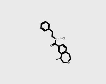 C[C@@H]1CNCCc2ccc(C(=O)NCCc3ccccc3)cc21.Cl